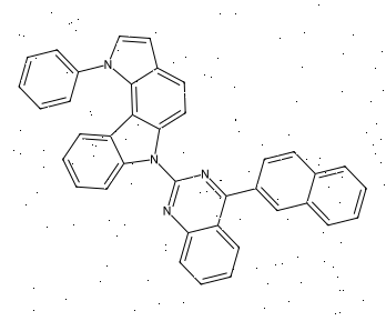 c1ccc(-n2ccc3ccc4c(c5ccccc5n4-c4nc(-c5ccc6ccccc6c5)c5ccccc5n4)c32)cc1